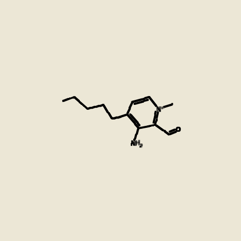 CCCCCc1cc[n+](C)c(C=O)c1N